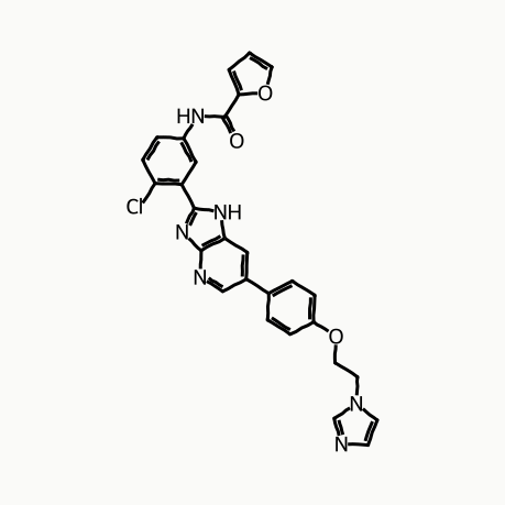 O=C(Nc1ccc(Cl)c(-c2nc3ncc(-c4ccc(OCCn5ccnc5)cc4)cc3[nH]2)c1)c1ccco1